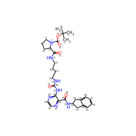 CC(C)(C)OC(=O)N1CCCC1C(=O)NCCCCNC(=O)Nc1nccnc1C(=O)NC1Cc2ccccc2C1